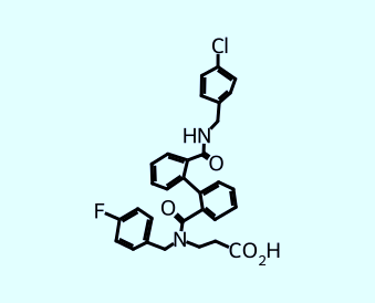 O=C(O)CCN(Cc1ccc(F)cc1)C(=O)c1ccccc1-c1ccccc1C(=O)NCc1ccc(Cl)cc1